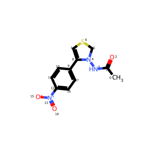 CC(=O)NN1CSC=C1c1ccc([N+](=O)[O-])cc1